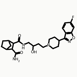 NC(=O)C1C2CCC(C2)C1C(=O)NCC(O)CCN1CCC(c2noc3cc(F)ccc23)CC1